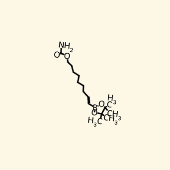 CC1(C)OB(C=CCCCCCCCOC(N)=O)OC1(C)C